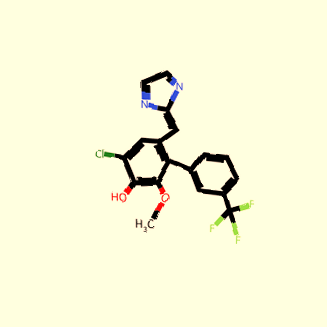 COc1c(O)c(Cl)cc(C=C2N=CC=N2)c1-c1cccc(C(F)(F)F)c1